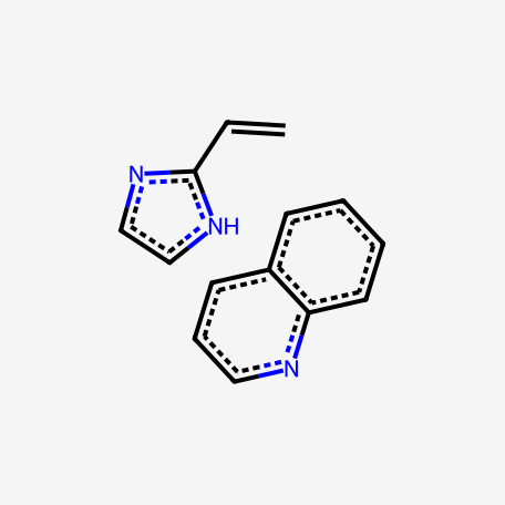 C=Cc1ncc[nH]1.c1ccc2ncccc2c1